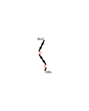 CC(C)COCC#CC#CCOCC#CC#CCOCCOCC(C)C